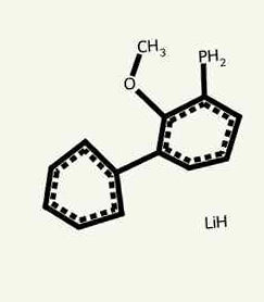 COc1c(P)cccc1-c1ccccc1.[LiH]